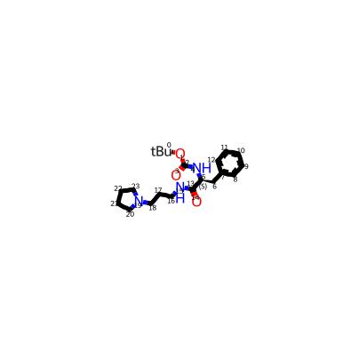 CC(C)(C)OC(=O)N[C@@H](Cc1ccccc1)C(=O)NCCCN1CCCC1